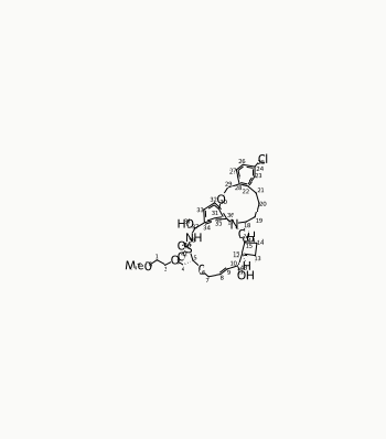 COCCOC[C@H]1CC/C=C/[C@H](O)[C@@H]2CC[C@H]2CN2CCCCc3cc(Cl)ccc3COc3ccc(cc32)C(O)NS1(=O)=O